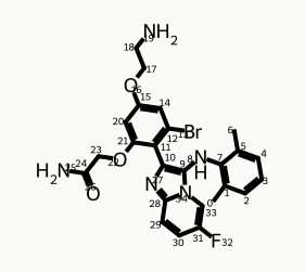 Cc1cccc(C)c1Nc1c(-c2c(Br)cc(OCCN)cc2OCC(N)=O)nc2ccc(F)cn12